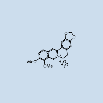 COc1ccc2cc3[n+](cc2c1OC)CCc1cc2c(cc1-3)OCO2.O.O